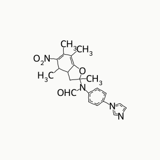 CC1=C2OC(C)(N(C=O)c3ccc(-n4ccnc4)cc3)CC2C(C)C([N+](=O)[O-])=C1C